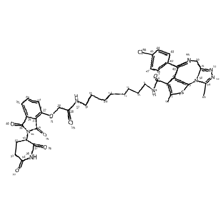 Cc1sc2c(c1C(=O)NCCCCCCCCNC(=O)COc1cccc3c1C(=O)N(C1CCC(=O)NC1=O)C3=O)C(c1ccc(Cl)cc1)=NCc1nnc(C)n1-2